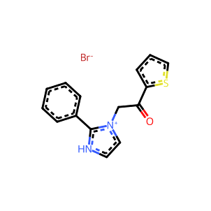 O=C(C[n+]1cc[nH]c1-c1ccccc1)c1cccs1.[Br-]